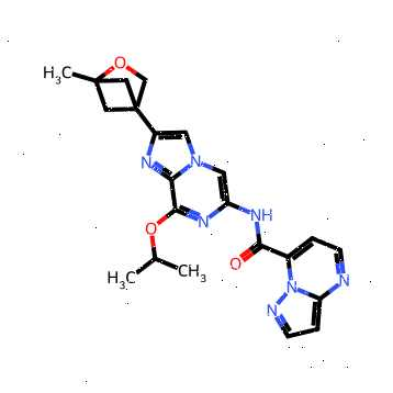 CC(C)Oc1nc(NC(=O)c2ccnc3ccnn23)cn2cc(C34COC(C)(C3)C4)nc12